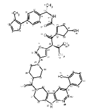 Cc1ncsc1-c1ccc([C@H](C)NC(=O)[C@@H]2C[C@@H](O)CN2C(=O)[C@H](c2cc(N3CCC(C(=O)N4CCc5[nH]c6nnc(-c7ccccc7O)cc6c5C4)CC3)no2)C(C)C)cc1